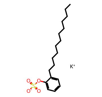 CCCCCCCCCCCCc1ccccc1OS(=O)(=O)[O-].[K+]